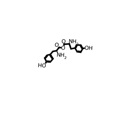 N[C@@H](Cc1ccc(O)cc1)C(=O)OC(=O)[C@@H](N)Cc1ccc(O)cc1